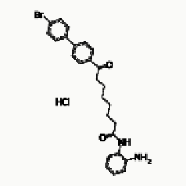 Cl.Nc1ccccc1NC(=O)CCCCCCC(=O)c1ccc(-c2ccc(Br)cc2)cc1